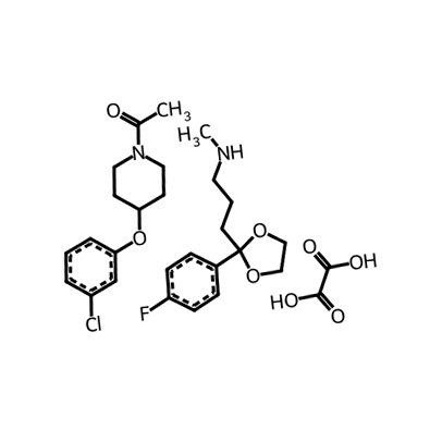 CC(=O)N1CCC(Oc2cccc(Cl)c2)CC1.CNCCCC1(c2ccc(F)cc2)OCCO1.O=C(O)C(=O)O